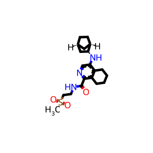 CS(=O)(=O)CCNC(=O)c1ncc(N[C@@H]2C[C@H]3CC[C@@H]2C3)c2c1CCCC2